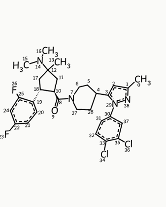 Cc1cc(C2CCN(C(=O)[C@@H]3CC(C)(N(C)C)C[C@H]3c3ccc(F)cc3F)CC2)n(-c2ccc(Cl)c(Cl)c2)n1